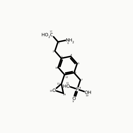 NC(Cc1ccc(CP(=O)(O)O)c(C2CO2)c1)C(=O)O